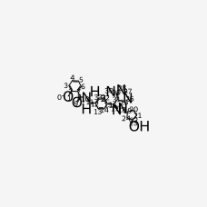 COc1ccccc1C(=O)NCc1ccc(-c2nn(C3CCC(O)C3)c3ncnc(N)c23)cc1